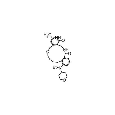 CCN(c1cccc2c1CCCCOCc1cc(C)[nH]c(=O)c1CNC2=O)C1CCOCC1